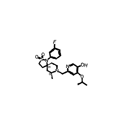 CC(C)Oc1cc(CN2CC[C@]3(CCS(=O)(=O)N3c3cccc(F)c3)C[C@@H]2C)ncc1O